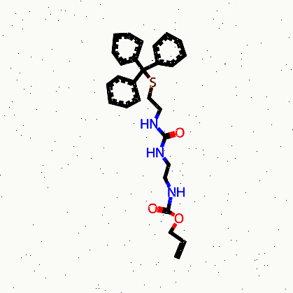 C=CCOC(=O)NCCNC(=O)NCCSC(c1ccccc1)(c1ccccc1)c1ccccc1